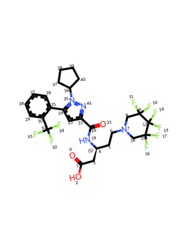 O=C(O)C[C@H](CCN1CC(F)(F)C(F)(F)C(F)(F)C1)NC(=O)c1cc(-c2ccccc2C(F)(F)F)n(C2CCCC2)n1